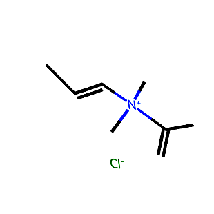 C=C(C)[N+](C)(C)C=CC.[Cl-]